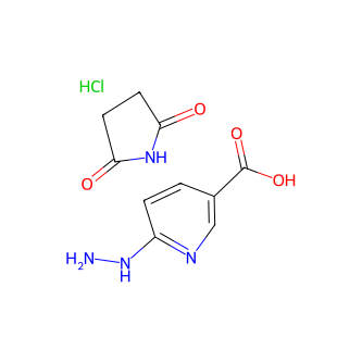 Cl.NNc1ccc(C(=O)O)cn1.O=C1CCC(=O)N1